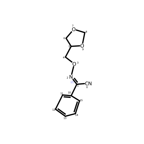 N#C/C(=N\OCC1COCO1)c1ccccc1